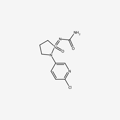 NC(=O)N=S1(=O)CCCN1c1ccc(Cl)nc1